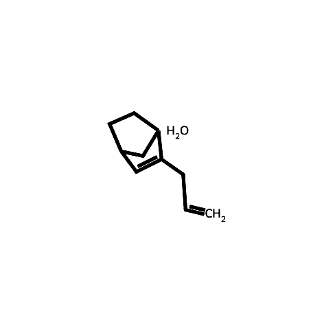 C=CCC1=CC2CCC1C2.O